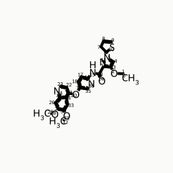 CCOc1cn(C2CC=CS2)nc1C(=O)Nc1ccc(Oc2ccnc3cc(OC)c(OC)cc23)cn1